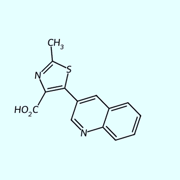 Cc1nc(C(=O)O)c(-c2cnc3ccccc3c2)s1